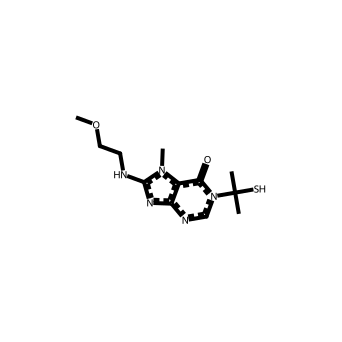 COCCNc1nc2ncn(C(C)(C)S)c(=O)c2n1C